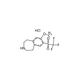 COc1cc2c(cc1S(=O)(=O)C(F)(F)F)CCNCC2.Cl